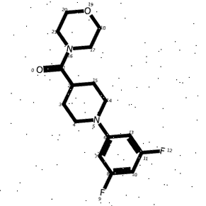 O=C(C1CCN(c2cc(F)cc(F)c2)CC1)N1CCOCC1